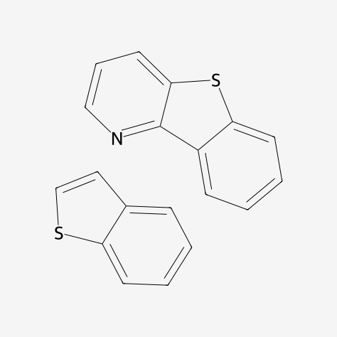 c1ccc2c(c1)sc1cccnc12.c1ccc2sccc2c1